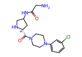 NCC(=O)NC1CN[C@@H](C(=O)N2CCN(c3cccc(Cl)c3)CC2)C1